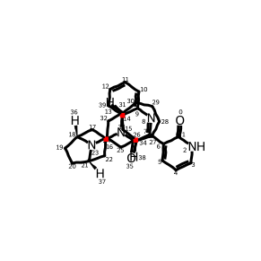 O=c1[nH]cccc1-c1nc2ccccc2n(C2C[C@H]3CC[C@@H](C2)N3C2C[C@H]3CCCC[C@@H](C2)C3)c1=O